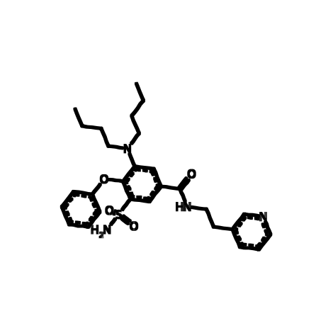 CCCCN(CCCC)c1cc(C(=O)NCCc2cccnc2)cc(S(N)(=O)=O)c1Oc1ccccc1